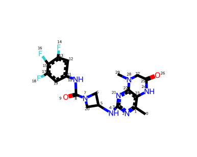 Cc1nc(NC2CN(C(=O)Nc3cc(F)c(F)c(F)c3)C2)nc2c1NC(=O)CN2C